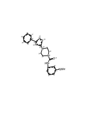 CSc1cccc(NC(=O)N2CCN(c3nc(-c4ccccc4)ns3)CC2)c1